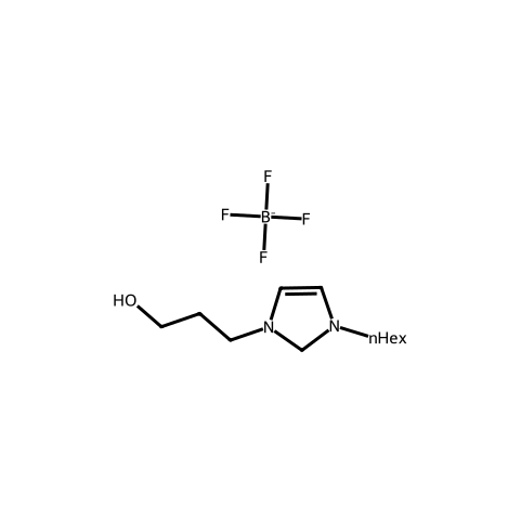 CCCCCCN1C=CN(CCCO)C1.F[B-](F)(F)F